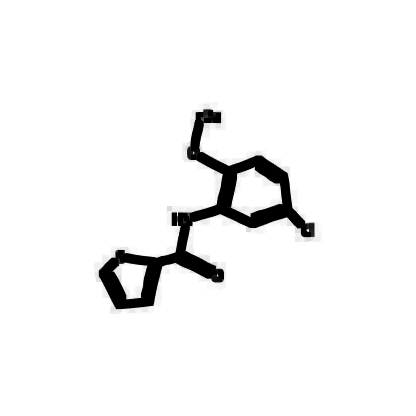 CCCCOc1ccc(Cl)cc1NC(=O)c1cccs1